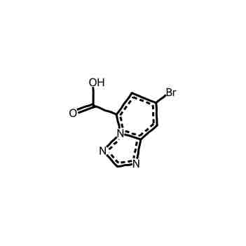 O=C(O)c1cc(Br)cc2ncnn12